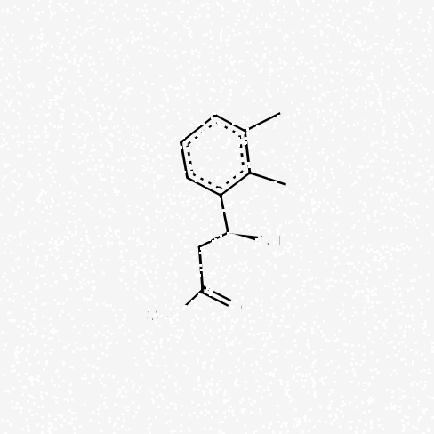 COC(=O)C[C@H](N)c1cccc(C)c1C